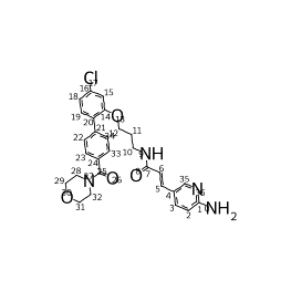 Nc1ccc(/C=C/C(=O)NCCCOc2cc(Cl)ccc2-c2ccc(C(=O)N3CCOCC3)cc2)cn1